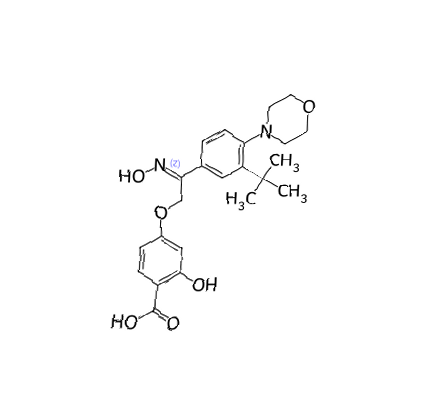 CC(C)(C)c1cc(/C(COc2ccc(C(=O)O)c(O)c2)=N/O)ccc1N1CCOCC1